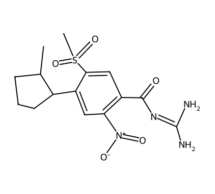 CC1CCCC1c1cc([N+](=O)[O-])c(C(=O)N=C(N)N)cc1S(C)(=O)=O